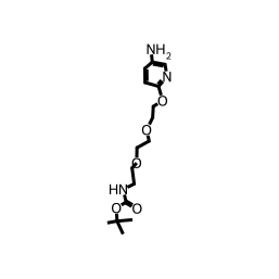 CC(C)(C)OC(=O)NCCOCCOCCOc1ccc(N)cn1